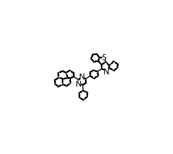 c1ccc(-c2cc(-c3ccc(-c4nc5ccccc5c5sc6ccccc6c45)cc3)nc(-c3ccc4ccc5cccc6ccc3c4c56)n2)cc1